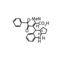 CNC(C(=O)O)=C(C(=O)C(=O)c1ccccc1)C1c2ccccc2N[C@@H]2CCC[C@H]12